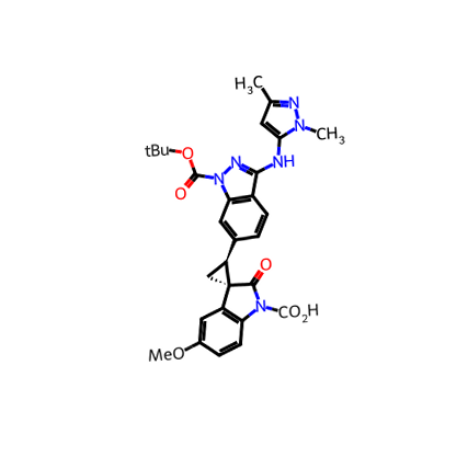 COc1ccc2c(c1)[C@]1(C[C@H]1c1ccc3c(Nc4cc(C)nn4C)nn(C(=O)OC(C)(C)C)c3c1)C(=O)N2C(=O)O